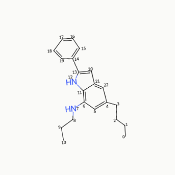 CCCCc1cc(NCCC)c2[nH]c(-c3ccccc3)cc2c1